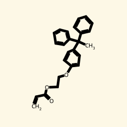 C=CC(=O)OCCOc1ccc(C(C)(c2ccccc2)c2ccccc2)cc1